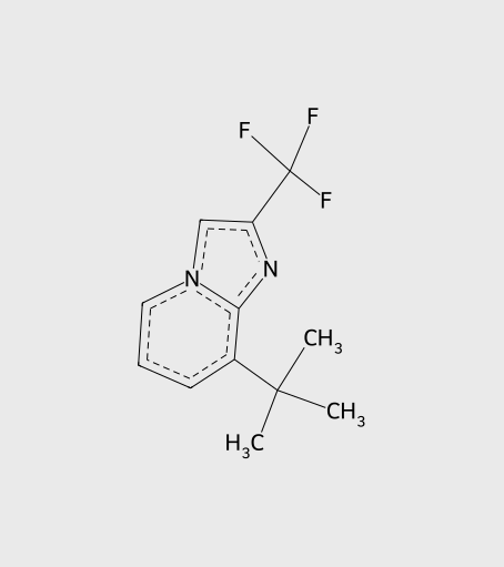 CC(C)(C)c1cccn2cc(C(F)(F)F)nc12